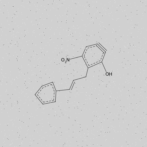 O=[N+]([O-])c1cc#cc(O)c1C/C=C/c1ccccc1